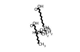 C=C(C)C.C=C(C)C.CCCCCCCCCCCC(=O)O.CCCCCCCCCCCC(=O)O